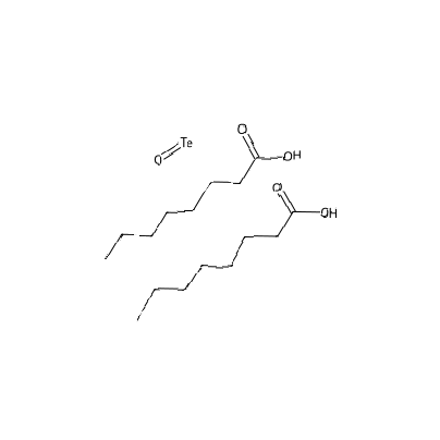 CCCCCCCC(=O)O.CCCCCCCC(=O)O.O=[Te]